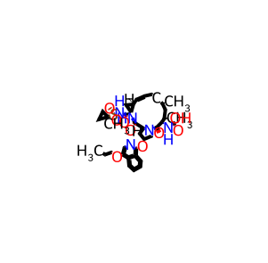 CCCOc1cnc(O[C@@H]2C[C@H]3C(=O)N[C@]4(C(=O)NS(=O)(=O)C5(C)CC5)C[C@H]4/C=C\CC[C@H](C)C[C@@H](C)[C@H](NC(=O)O)C(=O)N3C2)c2ccccc12